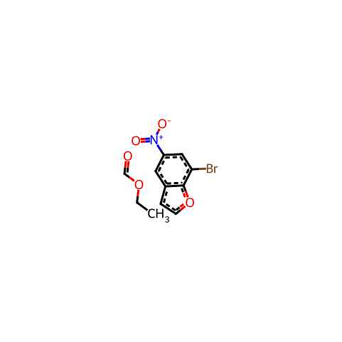 CCOC=O.O=[N+]([O-])c1cc(Br)c2occc2c1